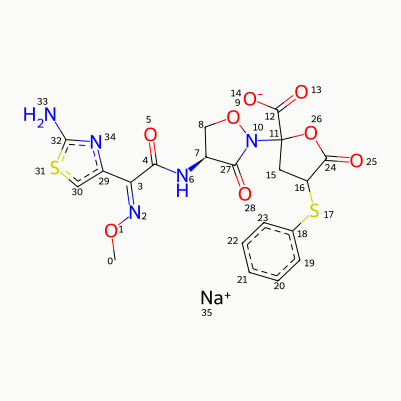 CON=C(C(=O)N[C@H]1CON(C2(C(=O)[O-])CC(Sc3ccccc3)C(=O)O2)C1=O)c1csc(N)n1.[Na+]